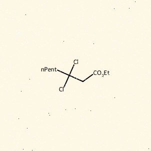 CCCCCC(Cl)(Cl)CC(=O)OCC